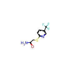 NC(=O)CSc1ccc(C(F)(F)F)cn1